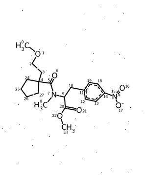 COCCC1(C(=O)N(C)C(Cc2ccc([N+](=O)[O-])cc2)C(=O)OC)CCCC1